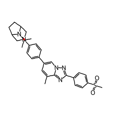 Cc1cc(-c2ccc(N3CC4CCC(C3)N4C(C)C)cc2)cn2nc(-c3ccc(S(C)(=O)=O)cc3)nc12